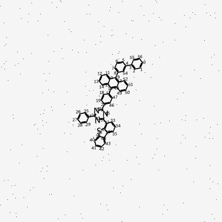 c1ccc(-c2cccc(-c3c4ccccc4c(-c4ccc(-c5nc(-c6ccccc6)nc(-c6cccc7c6sc6ccccc67)n5)cc4)c4ccccc34)c2)cc1